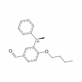 CCCCOc1ccc(C=O)cc1[C@H](C)c1ccccc1